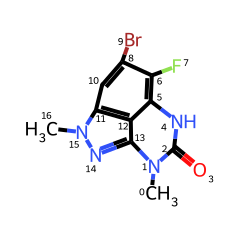 CN1C(=O)Nc2c(F)c(Br)cc3c2c1nn3C